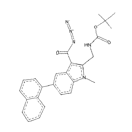 Cn1c(CNC(=O)OC(C)(C)C)c(C(=O)N=[N+]=[N-])c2cc(-c3cccc4ccccc34)ccc21